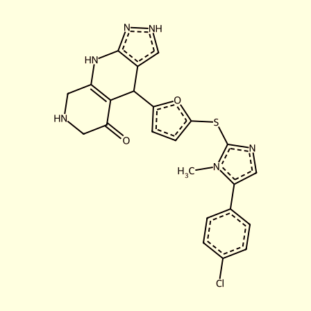 Cn1c(-c2ccc(Cl)cc2)cnc1Sc1ccc(C2C3=C(CNCC3=O)Nc3n[nH]cc32)o1